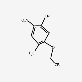 N#Cc1cc(OCC(F)(F)F)c(C(F)(F)F)cc1[N+](=O)[O-]